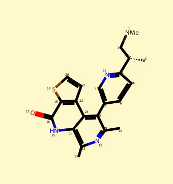 CNC[C@H](C)c1ccc(-c2c(C)nc(C)c3[nH]c(=O)c4sccc4c23)cn1